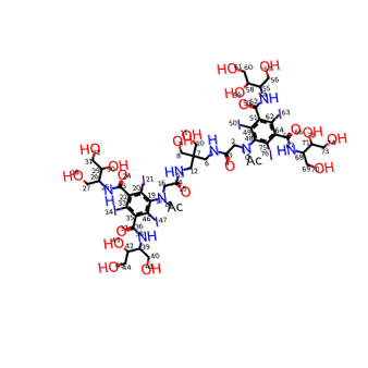 CC(=O)N(CC(=O)NCC(CO)(CO)CNC(=O)CN(C(C)=O)c1c(I)c(C(=O)NC(CO)C(O)CO)c(I)c(C(=O)NC(CO)C(O)CO)c1I)c1c(I)c(C(=O)NC(CO)C(O)CO)c(I)c(C(=O)NC(CO)C(O)CO)c1I